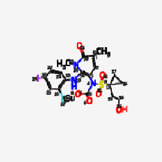 Cc1cc(N(C(=O)OC(C)(C)C)S(=O)(=O)C2(CCO)CC2)c(Nc2ccc(I)cc2F)n(C)c1=O